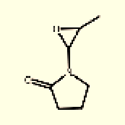 CC1OC1N1CCCC1=O